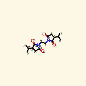 CC(C)C1CC(=O)N(CCN2C(=O)CC(C(C)C)C2=O)C1=O